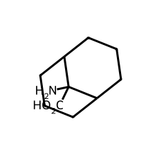 NC1(C(=O)O)C2CCCC1CCC2